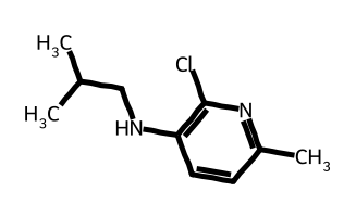 Cc1ccc(NCC(C)C)c(Cl)n1